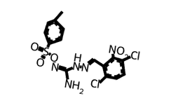 Cc1ccc(S(=O)(=O)ON=C(N)NN=Cc2c(Cl)ccc(Cl)c2[N+](=O)[O-])cc1